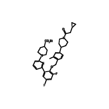 CCOC(=O)C1CCN(c2cccc(-c3cc(F)cc(F)c3OCc3ccc(C4CCN(C(=O)CC5CC5)CC4)cc3C)n2)CC1